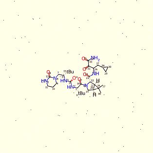 CC(C)(C)[C@H](NC(=O)N[C@H](CN1CCCNC1=O)C(C)(C)C)C(=O)N1C[C@H]2[C@@H]([C@H]1C(=O)NC(CC1CC1)C(=O)C(N)=O)C2(C)C